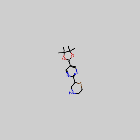 CC1(C)OB(c2cnc(C3CNCCS3)nc2)OC1(C)C